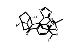 Cc1nc2cc(C(=O)N3[C@H]4CC[C@H](c5cc(C(F)F)nc6ncnn56)[C@@H]3CC4)ccc2o1